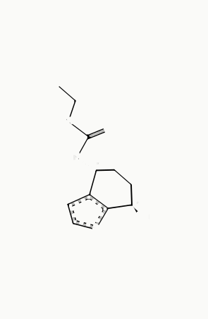 CCNC(=O)N[C@@H]1CC[C@@H](O)c2sccc21